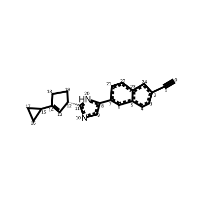 C#Cc1ccc2cc(-c3cnc([C@@H]4C=C(C5CC5)CC4)[nH]3)ccc2c1